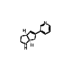 C1=C(c2cccnc2)C[C@H]2NCC[C@@H]12